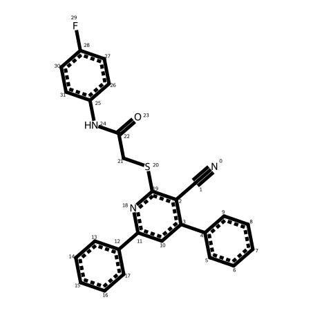 N#Cc1c(-c2ccccc2)cc(-c2ccccc2)nc1SCC(=O)Nc1ccc(F)cc1